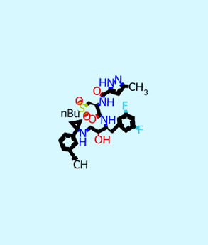 C#Cc1cccc(C2(NC[C@@H](O)[C@H](Cc3cc(F)cc(F)c3)NC(=O)[C@@H](CS(=O)(=O)CCCC)NC(=O)c3cc(C)n[nH]3)CC2)c1